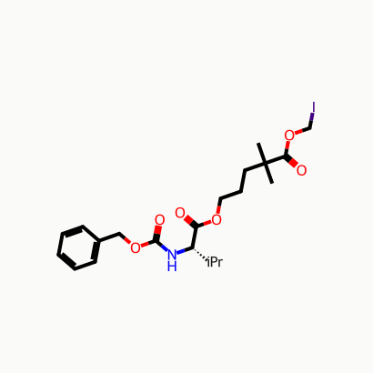 CC(C)[C@H](NC(=O)OCc1ccccc1)C(=O)OCCCC(C)(C)C(=O)OCI